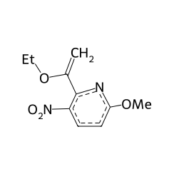 C=C(OCC)c1nc(OC)ccc1[N+](=O)[O-]